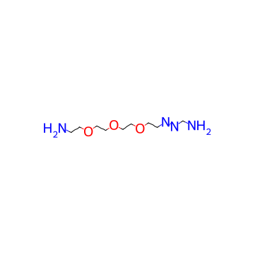 NCCOCCOCCOCC/N=N/CN